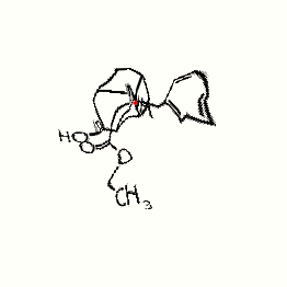 CCOC(=O)N1C2CC3CC1[C@H](O)C2NC3c1ccccc1